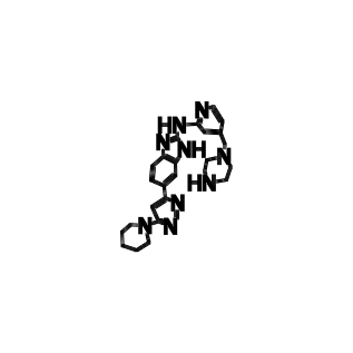 c1cc(CN2CCNCC2)cc(Nc2nc3ccc(-c4cc(N5CCCCC5)ncn4)cc3[nH]2)n1